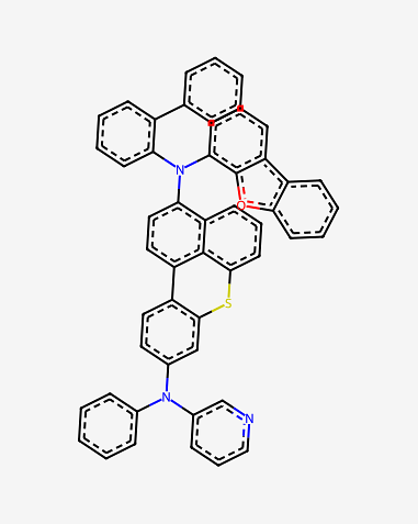 c1ccc(-c2ccccc2N(c2ccc3c4c(cccc24)Sc2cc(N(c4ccccc4)c4cccnc4)ccc2-3)c2cccc3c2oc2ccccc23)cc1